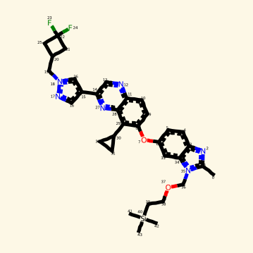 Cc1nc2ccc(Oc3ccc4ncc(-c5cnn(CC6CC(F)(F)C6)c5)nc4c3C3CC3)cc2n1COCC[Si](C)(C)C